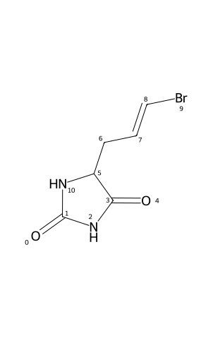 O=C1NC(=O)C(CC=CBr)N1